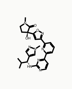 CC(C)[C@@H](Nc1nccc(-c2cccc(-c3cc([C@]4(O)CCN(C)C4=O)on3)n2)n1)c1cnn(C)c1